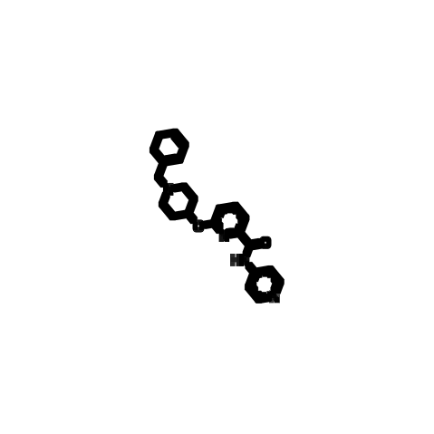 O=C(Nc1ccncc1)c1cccc(OC2CCN(CC3=CC=CCC3)CC2)n1